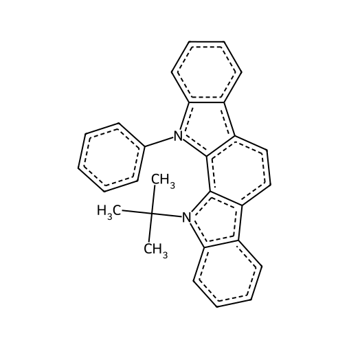 CC(C)(C)n1c2ccccc2c2ccc3c4ccccc4n(-c4ccccc4)c3c21